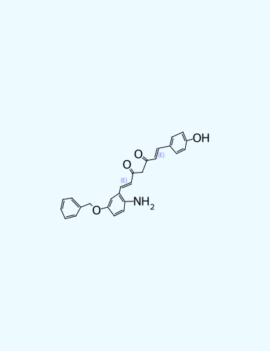 Nc1ccc(OCc2ccccc2)cc1/C=C/C(=O)CC(=O)/C=C/c1ccc(O)cc1